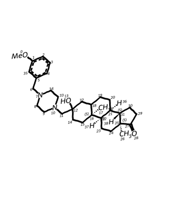 COc1cccc(CN2CCN(CC3(O)CC[C@@]4(C)C(CC[C@@H]5[C@H]4CC[C@]4(C)C(=O)CC[C@@H]54)C3)CC2)c1